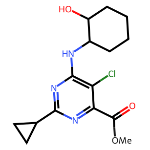 COC(=O)c1nc(C2CC2)nc(NC2CCCCC2O)c1Cl